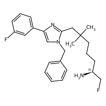 CC(C)([CH]c1nc(-c2cccc(F)c2)cn1Cc1ccccc1)CCC[C@H](N)CF